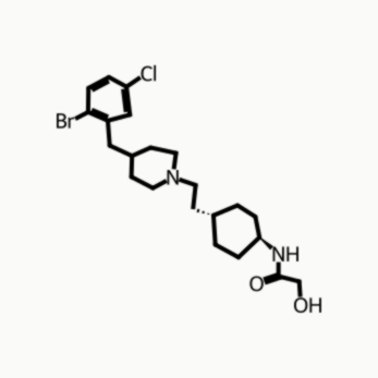 O=C(CO)N[C@H]1CC[C@H](CCN2CCC(Cc3cc(Cl)ccc3Br)CC2)CC1